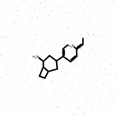 BC(/C=C\C(=C/C)C1CC(N)C2CCC2C1)=C\C